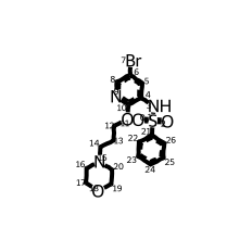 O=S(=O)(Nc1cc(Br)cnc1OCCCN1CCOCC1)c1ccccc1